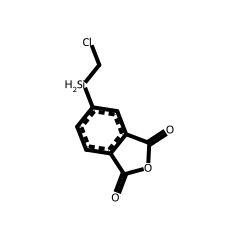 O=C1OC(=O)c2cc([SiH2]CCl)ccc21